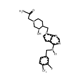 CCN(Cc1ccc(C(F)(F)F)c(F)c1)c1ncnc2c1ccn2CC1CCN(CC(N)=O)C[C@@H]1O